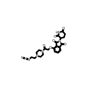 [N-]=[N+]=NCCN1CCN(C(=O)COc2cccc3c2C(=O)N(C2CCC(=O)NC2=O)C3=O)CC1